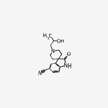 CC(O)CN1CCC2(CC1)C(=O)Nc1ccc(C#N)cc12